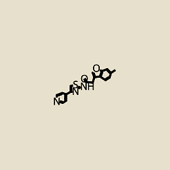 Cc1ccc2c(CC(=O)Nc3nc(-c4ccncc4)cs3)coc2c1